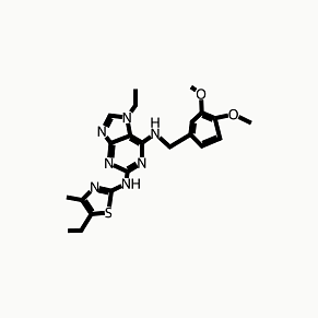 CCc1sc(Nc2nc(NCc3ccc(OC)c(OC)c3)c3c(ncn3CC)n2)nc1C